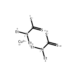 CCN(CC)C(=S)[S-].CCN(CC)C(=S)[S-].[Cu+2]